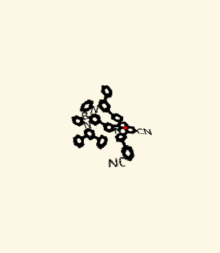 N#Cc1cccc(-c2ccc(-n3c4ccccc4c4cc(-c5cc6c7c(c5)N(c5cc(-c8ccccc8)cc(-c8ccccc8)c5)c5ccccc5B7c5ccccc5N6c5cc(-c6ccccc6)cc(-c6ccccc6)c5)ccc43)c(-c3cccc(C#N)c3)c2)c1